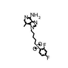 Cc1cnc(N)c2ncn(CCCCCS(=O)(=O)c3ccc(F)cc3F)c12